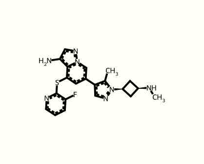 CN[C@H]1C[C@@H](n2ncc(-c3cc(Sc4ncccc4F)c4c(N)cnn4c3)c2C)C1